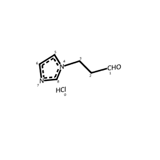 Cl.O=CCCn1ccnc1